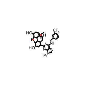 CC(C)n1cnc2c(NCc3cccc(C(F)(F)F)c3)nc(-c3cc(O)c4c5c3C[C@@H]3[C@@H]6C=C[C@H](O)[C@H](O4)[C@]56CCN3C)nc21